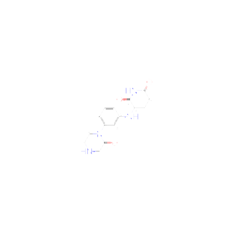 O=C1CCC(Nc2cccc(N3CCNCC3=O)c2)C(=O)N1